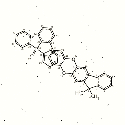 CC1(C)c2ccccc2-c2cc3c(cc21)Oc1ccc(-c2ccccc2P(=O)(C2=CCCC=C2)c2ccccc2)cc1O3